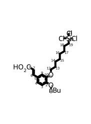 CCCCOc1ccc(C=CC(=O)O)cc1OCCCCCCCC[Si](Cl)(Cl)Cl